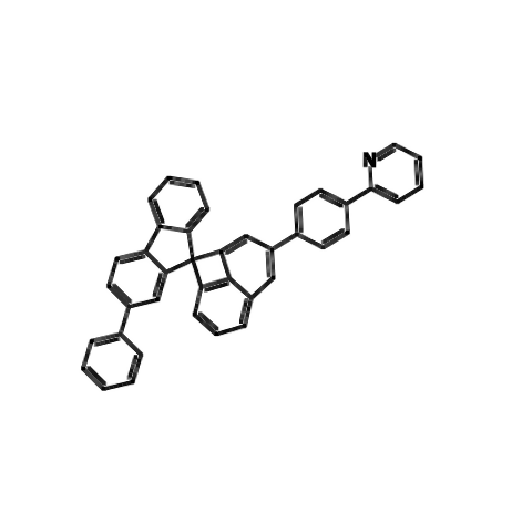 c1ccc(-c2ccc3c(c2)C2(c4ccccc4-3)c3cccc4cc(-c5ccc(-c6ccccn6)cc5)cc2c34)cc1